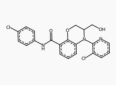 O=C(Nc1ccc(Cl)cc1)c1cccc2c1OCC(CO)N2c1ncccc1Cl